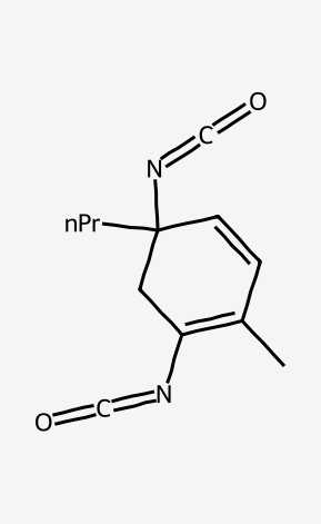 CCCC1(N=C=O)C=CC(C)=C(N=C=O)C1